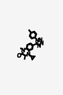 Cc1ccc(-n2nnnc2-c2ccc3c(c2)N(C2CC2)C(C)C(=O)N3C)cc1